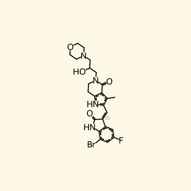 Cc1c(/C=C2\C(=O)Nc3c(Br)cc(F)cc32)[nH]c2c1C(=O)N(CC(O)CN1CCOCC1)CC2